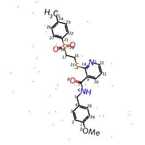 COc1ccc(CNC(=O)c2cccnc2SCCS(=O)(=O)c2ccc(C)cc2)cc1